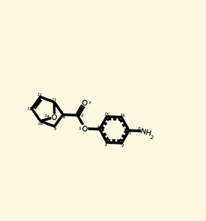 Nc1ccc(OC(=O)C2CC3C=CC2O3)cc1